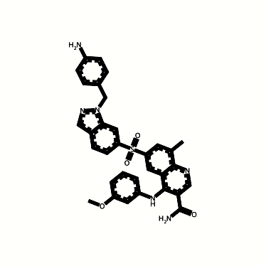 COc1cccc(Nc2c(C(N)=O)cnc3c(C)cc(S(=O)(=O)c4ccc5cnn(Cc6ccc(N)cc6)c5c4)cc23)c1